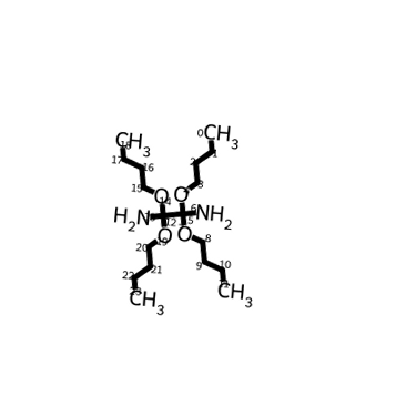 CCCCOC(N)(OCCCC)C(N)(OCCCC)OCCCC